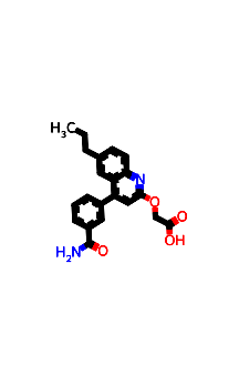 CCCc1ccc2nc(OCC(=O)O)cc(-c3cccc(C(N)=O)c3)c2c1